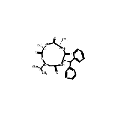 CCCC[C@H](C)[C@@H]1CC(=O)N[C@H](C(c2ccccc2)c2ccccc2)C(=O)N[C@@H](C)C(=O)N[C@H]([C@@H](C)CC)C(=O)O1